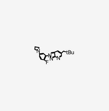 CC(C)(C)Cc1cnc2nn(-c3cc(N4CCC4)ccc3F)cc2c1